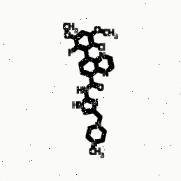 COc1cc(OC)c(Cl)c(-c2ccc(C(=O)Nc3nc(CN4CCN(C)CC4)c[nH]3)c3nccnc23)c1F